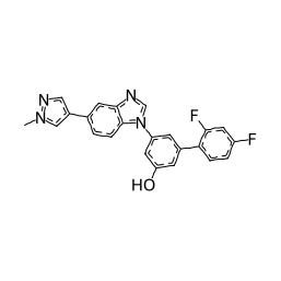 Cn1cc(-c2ccc3c(c2)ncn3-c2cc(O)cc(-c3ccc(F)cc3F)c2)cn1